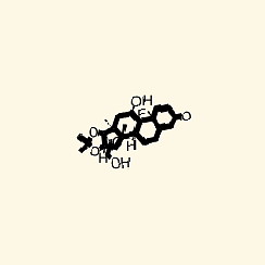 CC1(C)O[C@@H]2C[C@@]3(C)[C@@H]4CCC5=CC(=O)C=C[C@]5(C)[C@@]4(F)[C@@H](O)C[C@]3(C)[C@]2(C(=O)CO)O1